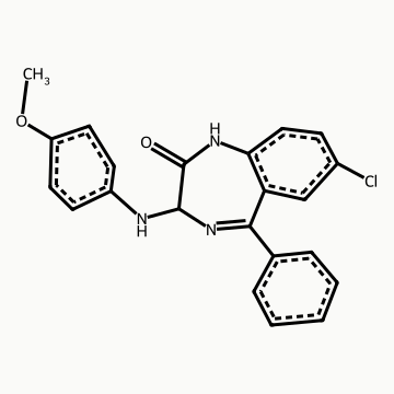 COc1ccc(NC2N=C(c3ccccc3)c3cc(Cl)ccc3NC2=O)cc1